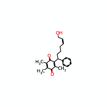 CC1=C(C)C(=O)C(C(CCC/C=C\CO)c2ccccc2)=C(C)C1=O